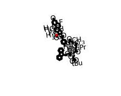 CC(C)[C@H](NC(=O)[C@H](CCC(=O)OC(C)(C)C)NC(=O)OCC1c2ccccc2-c2ccccc21)C(=O)N[C@@H](C)C(=O)Nc1cc(C(=O)O[C@]2(C(=O)SCF)CC[C@H]3[C@@H]4C[C@H](F)C5=CC(=O)C=C[C@]5(C)[C@@]4(F)[C@@H](O)C[C@@]32C)ccc1F